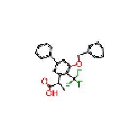 CC(C(=O)O)c1cc(-c2ccccc2)cc(OCc2ccccc2)c1C(F)(F)F